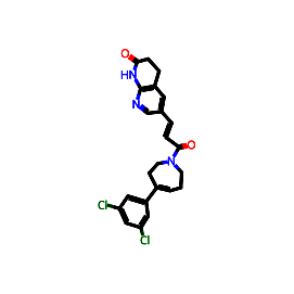 O=C1CCc2cc(/C=C/C(=O)N3CCC=C(c4cc(Cl)cc(Cl)c4)CC3)cnc2N1